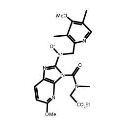 CCOC(=O)CN(C)C(=O)n1c([S+]([O-])Cc2ncc(C)c(OC)c2C)nc2ccc(OC)nc21